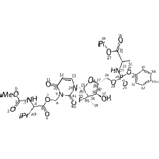 COC(=O)NC(C(=O)OCn1c(=O)ccn([C@@H]2O[C@H](COP(=O)(NC(C)C(=O)OC(C)C)Oc3ccccc3)[C@@H](O)[C@@]2(C)F)c1=O)C(C)C